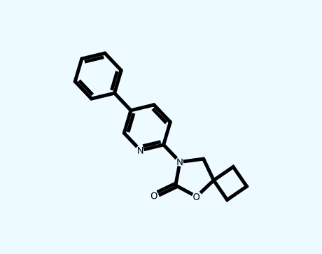 O=C1OC2(CCC2)CN1c1ccc(-c2ccccc2)cn1